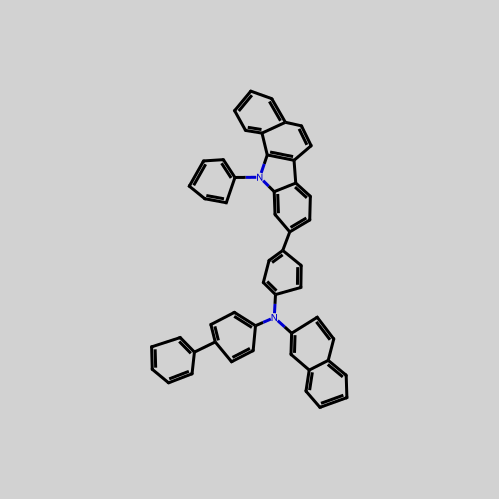 c1ccc(-c2ccc(N(c3ccc(-c4ccc5c6ccc7ccccc7c6n(-c6ccccc6)c5c4)cc3)c3ccc4ccccc4c3)cc2)cc1